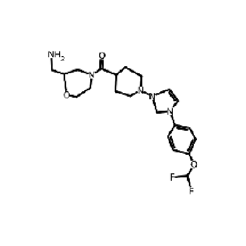 NCC1CN(C(=O)C2CCN(N3C=CN(c4ccc(OC(F)F)cc4)C3)CC2)CCO1